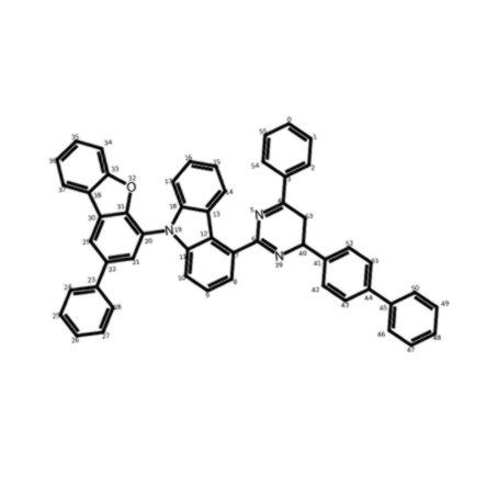 c1ccc(C2=NC(c3cccc4c3c3ccccc3n4-c3cc(-c4ccccc4)cc4c3oc3ccccc34)=NC(c3ccc(-c4ccccc4)cc3)C2)cc1